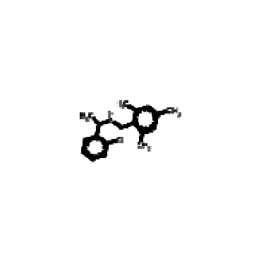 Cc1cc(C)c(CNC(C)c2ccccc2Cl)c(C)c1